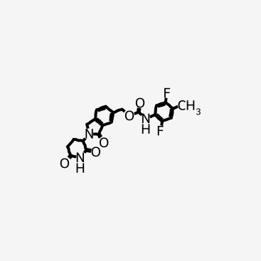 Cc1cc(F)c(NC(=O)OCc2ccc3c(c2)C(=O)N(C2CCC(=O)NC2=O)C3)cc1F